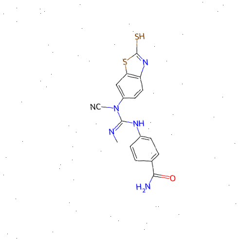 CN=C(Nc1ccc(C(N)=O)cc1)N(C#N)c1ccc2nc(S)sc2c1